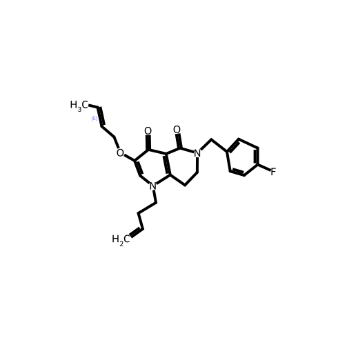 C=CCCn1cc(OC/C=C/C)c(=O)c2c1CCN(Cc1ccc(F)cc1)C2=O